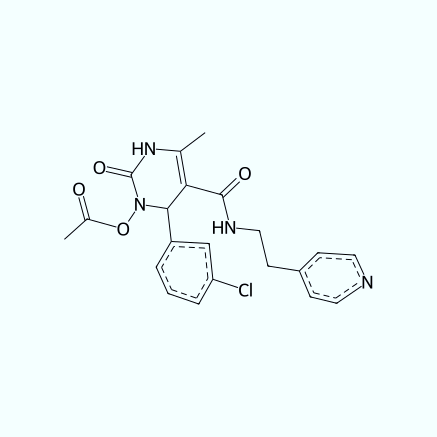 CC(=O)ON1C(=O)NC(C)=C(C(=O)NCCc2ccncc2)C1c1cccc(Cl)c1